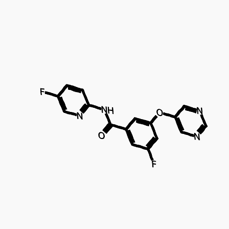 O=C(Nc1ccc(F)cn1)c1cc(F)cc(Oc2cncnc2)c1